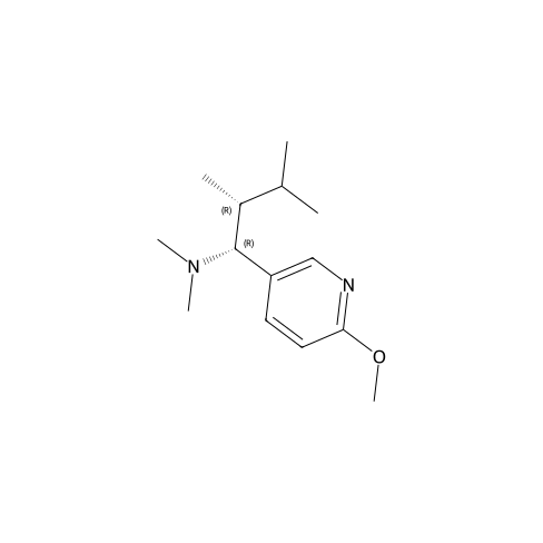 COc1ccc([C@@H]([C@H](C)C(C)C)N(C)C)cn1